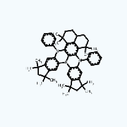 CC1(C)CC(C)(C)c2cc3c(cc21)B1c2cc4c(cc2N(c2ccccc2)c2c1c(c1c5c2C(C)(C)CCC5CCC1(C)C)N3c1ccccc1)C(C)(C)CC4(C)C